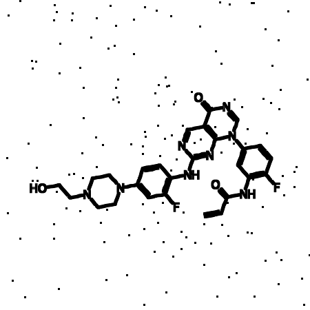 C=CC(=O)Nc1cc(-n2cnc(=O)c3cnc(Nc4ccc(N5CCN(CCO)CC5)cc4F)nc32)ccc1F